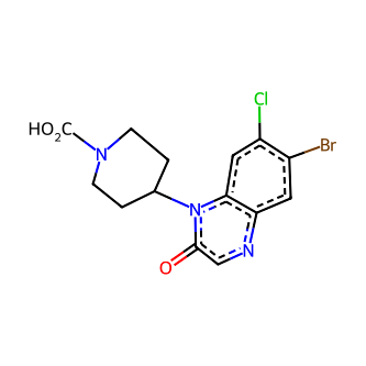 O=C(O)N1CCC(n2c(=O)cnc3cc(Br)c(Cl)cc32)CC1